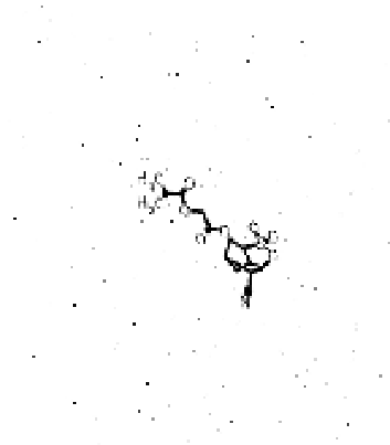 C=C(C)C(=O)OCC(=O)OC1C2CC3C(OS(=O)(=O)C31)C2C#N